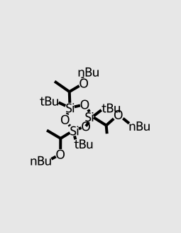 CCCCOC(C)[Si]1(C(C)(C)C)O[Si](C(C)OCCCC)(C(C)(C)C)O[Si](C(C)OCCCC)(C(C)(C)C)O1